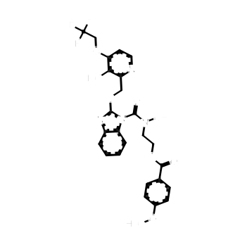 COc1ccc(C(=O)OCCN(C)C(=O)n2c(SCc3nccc(OCC(F)(F)F)c3C)nc3ccccc32)cc1